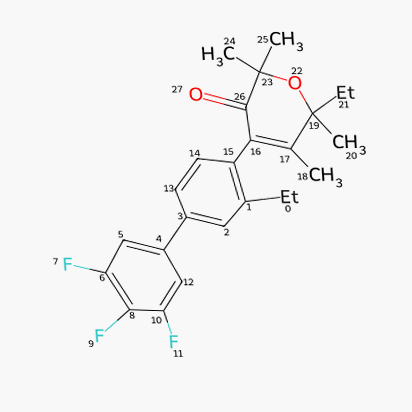 CCc1cc(-c2cc(F)c(F)c(F)c2)ccc1C1=C(C)C(C)(CC)OC(C)(C)C1=O